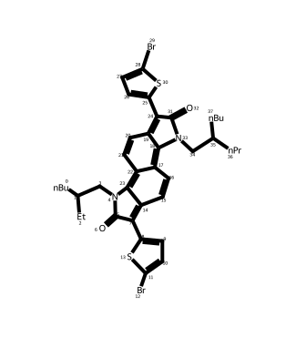 CCCCC(CC)CN1C(=O)C(c2ccc(Br)s2)=c2ccc3c4c(ccc3c21)=C(c1ccc(Br)s1)C(=O)N4CC(CCC)CCCC